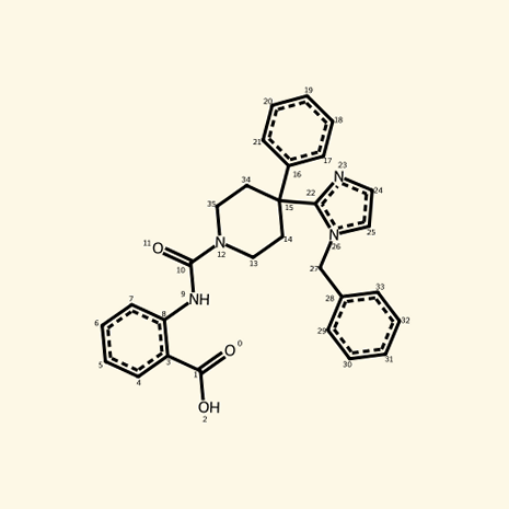 O=C(O)c1ccccc1NC(=O)N1CCC(c2ccccc2)(c2nccn2Cc2ccccc2)CC1